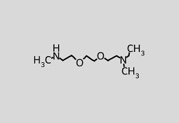 CCN(C)CCOCCOCCNC